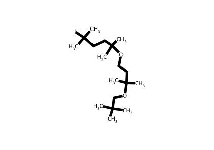 CC(C)(C)COC(C)(C)CCOC(C)(C)CCC(C)(C)I